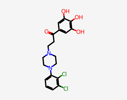 O=C(CCN1CCN(c2cccc(Cl)c2Cl)CC1)c1cc(O)c(O)c(O)c1